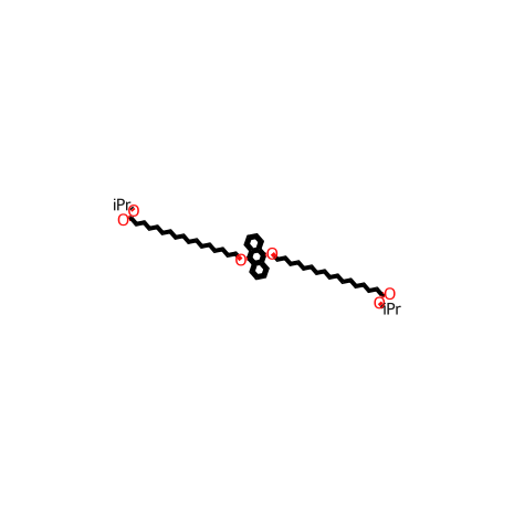 CC(C)OC(=O)CCCCCCCCCCCCCCCCOc1c2ccccc2c(OCCCCCCCCCCCCCCCCC(=O)OC(C)C)c2ccccc12